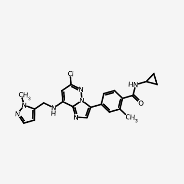 Cc1cc(-c2cnc3c(NCc4ccnn4C)cc(Cl)nn23)ccc1C(=O)NC1CC1